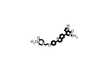 CN1CCN(CCOc2ccc(-c3ccc4cc(-c5cn(C)c(=O)c6[nH]ccc56)ccc4n3)cc2)CCC1=O